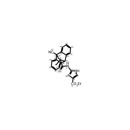 CCOC(=O)c1c[nH]c(NC(=O)C2(C)CC3(C#N)c4ccccc4C2c2ccccc23)n1